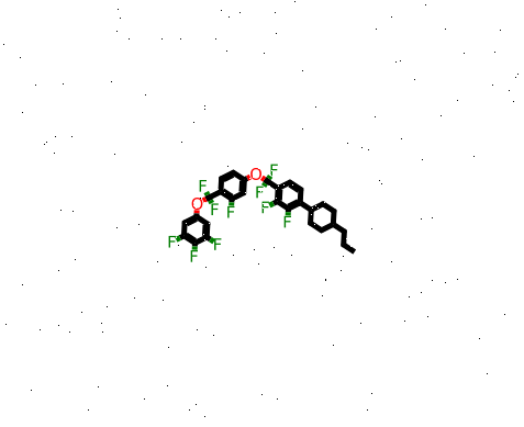 CCCC1CCC(c2ccc(C(F)(F)Oc3ccc(C(F)(F)Oc4cc(F)c(F)c(F)c4)c(F)c3)c(F)c2F)CC1